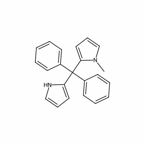 Cn1cccc1C(c1ccccc1)(c1ccccc1)c1ccc[nH]1